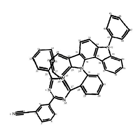 N#Cc1cccc(-c2nc(-c3ccccc3)nc(-c3ccccc3-n3c4ncccc4c4ccc5c(c6ccccc6n5-c5ccccc5)c43)n2)c1